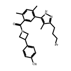 Cc1cc(C)c(-c2[nH]nc(CCCC(C)C)c2C)cc1C(=O)N1CC(c2ccc(C#N)cc2)C1